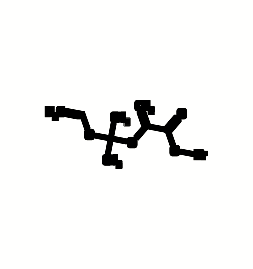 C=COC(C)(C)OC(=C)C(=O)OC(C)C